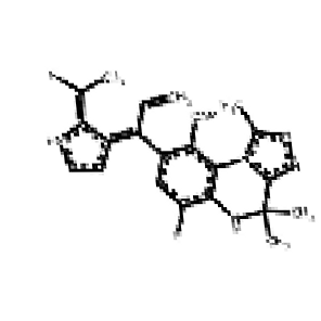 C=C/C(c1cc(F)c2c(c1OC)-n1c(C)nnc1C(C)(C)N2)=c1/cc[nH]/c1=C(/C)F